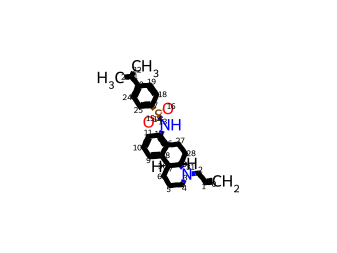 C=CCN1CCC[C@H]2c3cccc(NS(=O)(=O)c4ccc(C(C)C)cc4)c3CC[C@@H]21